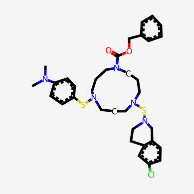 CN(C)c1ccc(SN2CCCN(SN3CCc4cc(Cl)ccc4C3)CCCN(C(=O)OCc3ccccc3)CCC2)cc1